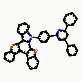 c1ccc(-c2cc(-c3ccccc3)nc(-c3ccc(-n4c5ccccc5c5c6sc7ccccc7c6c6c7ccccc7oc6c54)cc3)c2)cc1